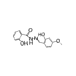 COc1ccc(/C=N/NC(=O)c2ccccc2O)c(O)c1